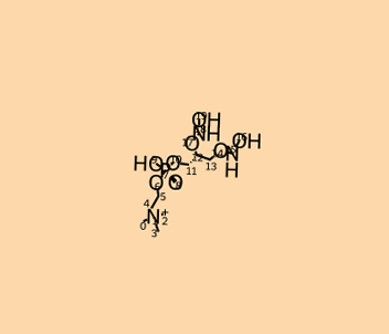 C[N+](C)(C)CCOP(=O)(O)OC[C@@H](CONO)ONO